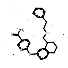 NC(=O)c1ccc(Oc2ccc3c(c2)C(CNCCc2ccccc2)CCC3)nc1